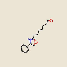 O=CCCCCCCc1nc(-c2ccccc2)co1